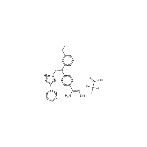 CCc1cccc(N(Cc2nc(-c3ccccc3)n[nH]2)c2ccc(C(N)=NO)cc2)c1.O=C(O)C(F)(F)F